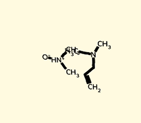 C=CCN(C)C.C[NH+](C)[O-]